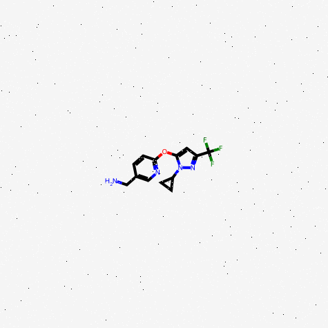 NCc1ccc(Oc2cc(C(F)(F)F)nn2C2CC2)nc1